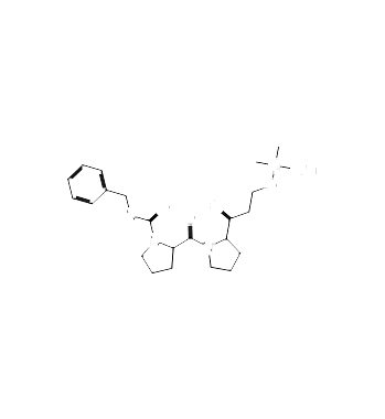 CC(C)(C)[Si](C)(C)OCCC(=O)C1CCCN1C(=O)C1CCCN1C(=O)NCc1ccccc1